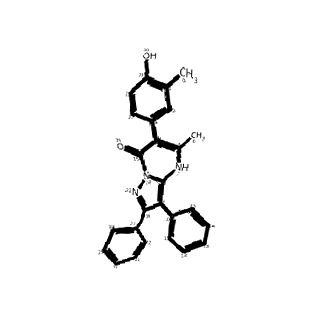 Cc1cc(-c2c(C)[nH]c3c(-c4ccccc4)c(-c4ccccc4)nn3c2=O)ccc1O